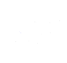 O=C1CC2Cc3cc(Cl)ccc3C2N1